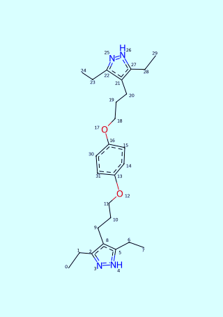 CCc1n[nH]c(CC)c1CCCOc1ccc(OCCCc2c(CC)n[nH]c2CC)cc1